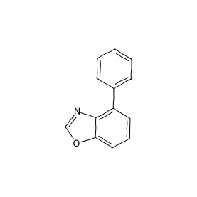 c1ccc(-c2cccc3ocnc23)cc1